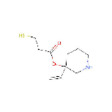 C=CC1(OC(=O)CCS)CCCNC1